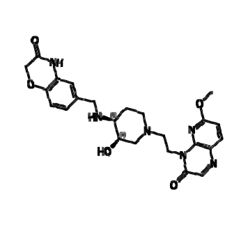 COc1ccc2ncc(=O)n(CCN3CC[C@H](NCc4ccc5c(c4)NC(=O)CO5)[C@H](O)C3)c2n1